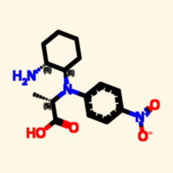 C[C@@H](C(=O)O)N(c1ccc([N+](=O)[O-])cc1)[C@@H]1CCCC[C@H]1N